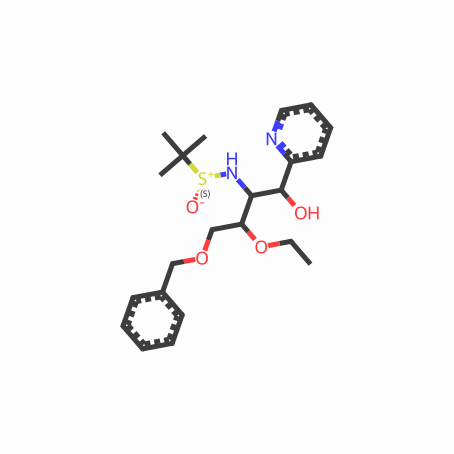 CCOC(COCc1ccccc1)C(N[S@+]([O-])C(C)(C)C)C(O)c1ccccn1